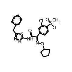 CS(=O)(=O)c1ccc(/C(=N\OC2CCCC2)C(=O)Nc2nnc(Cc3ccccc3)s2)cc1Cl